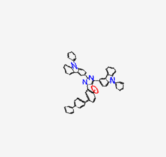 c1ccc(-c2ccc(-c3ccc4oc5c(-c6ccc7c(c6)c6ccccc6n7-c6ccccc6)nc(-c6ccc7c(c6)c6ccccc6n7-c6ccccc6)nc5c4c3)cc2)cc1